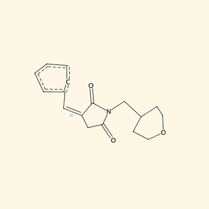 O=C1C/C(=C/c2ccccc2)C(=O)N1CC1CCOCC1